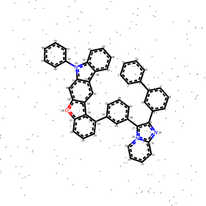 c1ccc(-c2cccc(-c3nc4ccccn4c3-c3cccc(-c4cccc5oc6cc7c(cc6c45)c4ccccc4n7-c4ccccc4)c3)c2)cc1